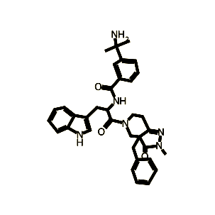 CN1N=C2CCN(C(=O)C(Cc3c[nH]c4ccccc34)NC(=O)c3cccc(C(C)(C)N)c3)CC2(Cc2ccccc2)C1=O